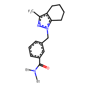 CCN(CC)C(=O)c1cccc(Cn2nc(C(F)(F)F)c3c2CCCC3)c1